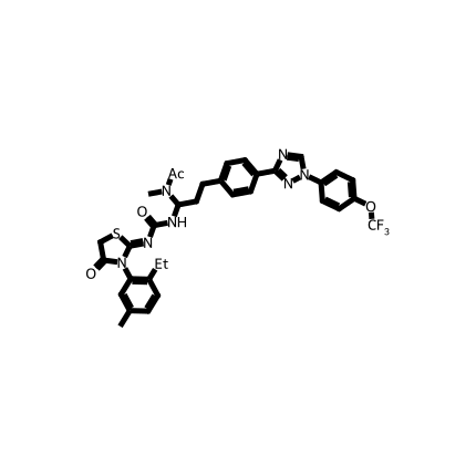 CCc1ccc(C)cc1N1C(=O)CS/C1=N\C(=O)NC(CCc1ccc(-c2ncn(-c3ccc(OC(F)(F)F)cc3)n2)cc1)N(C)C(C)=O